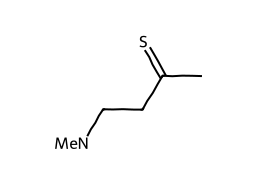 CNCCC(C)=S